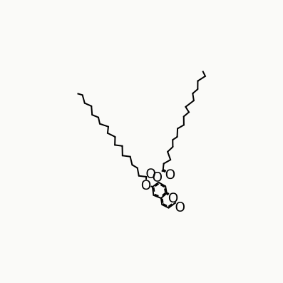 CCCCCCCCCCCCCCCCCC(=O)Oc1cc2ccc(=O)oc2cc1OC(=O)CCCCCCCCCCCCCCCCC